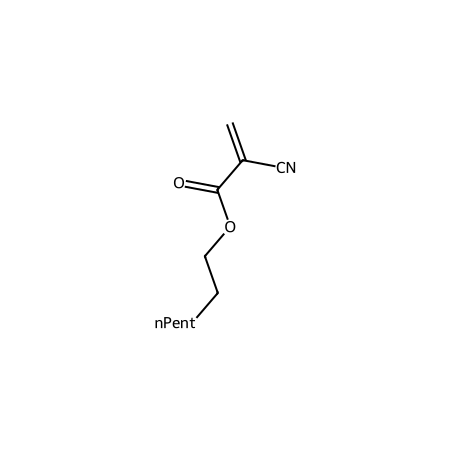 C=C(C#N)C(=O)OCCCCCCC